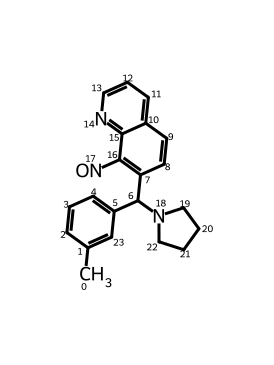 Cc1cccc(C(c2ccc3cccnc3c2N=O)N2CCCC2)c1